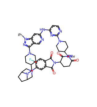 COC1CCN(c2nccc(Nc3cc4c(cn3)c(N3CCC(CN5C6CCC5CN(c5cc7c(cc5F)C(=O)N(C5CCC(=O)NC5=O)C7=O)C6)CC3)nn4C(C)C)n2)CC1